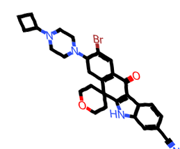 N#CC1=CC2NC3=C(C(=O)C4=C(CC(N5CCN(C6CCC6)CC5)C(Br)=C4)C34CCOCC4)C2C=C1